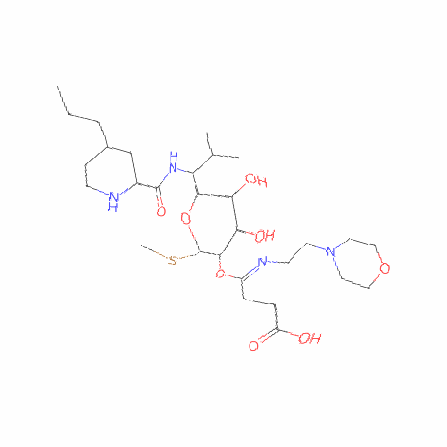 CCCC1CCNC(C(=O)NC(C(C)C)C2OC(SC)C(OC(CCC(=O)O)=NCCN3CCOCC3)C(O)C2O)C1